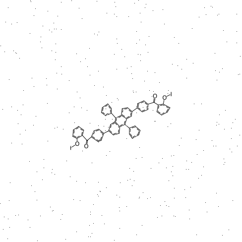 O=C(c1ccc(-c2ccc3c(-c4ccccc4)c4cc(-c5ccc(C(=O)c6ccccc6OI)cc5)ccc4c(-c4ccccc4)c3c2)cc1)c1ccccc1OI